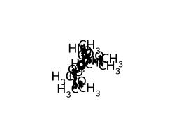 CNC(=O)OC(C(=O)N(C)CCN(C)C(C)=O)c1ccc(OC(=O)N(C)CCN(C)C(C)=O)cc1